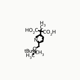 CC(C(=O)O)(C(=O)O)c1ccc(CO[Si](C)(C)C(C)(C)C)nc1